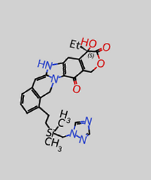 CC[C@@]1(O)C(=O)OCC2=C1CC1=C(C2=O)N2Cc3c(cccc3CC[Si](C)(C)Cn3cncn3)C=C2N1